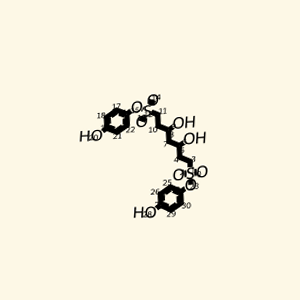 O=S(=O)(CCC(O)CC(O)CCS(=O)(=O)Oc1ccc(O)cc1)Oc1ccc(O)cc1